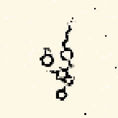 CCOCCCCC1CCN(Nc2nc(N[C@H]3CC[C@H](N)CC3)nc3c2ncn3C2CCCC2)CC1